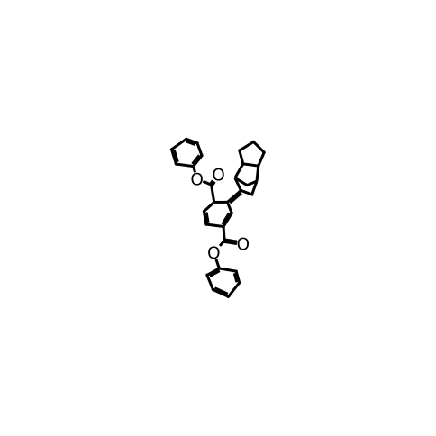 O=C(Oc1ccccc1)C1=CC(=C2CC3CC2C2CCCC32)C(C(=O)Oc2ccccc2)C=C1